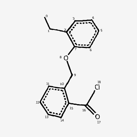 CCc1ccccc1OCc1ccccc1C(=O)Cl